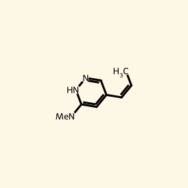 C/C=C\C1=C=C(NC)NN=C1